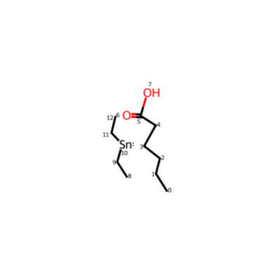 CCCCCC(=O)O.C[CH2][Sn][CH2]C